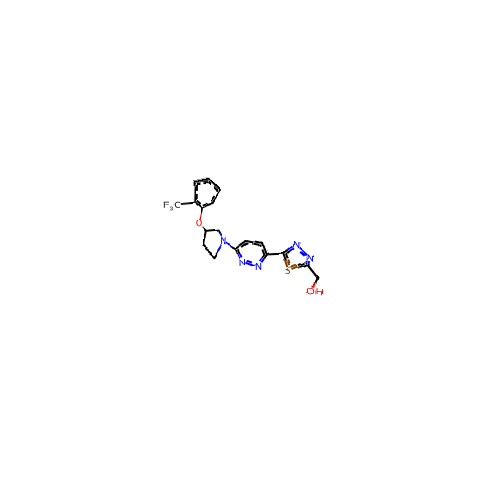 OCc1nnc(-c2ccc(N3CCC(Oc4ccccc4C(F)(F)F)C3)nn2)s1